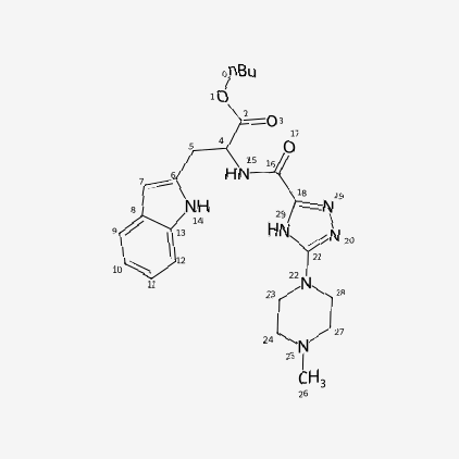 CCCCOC(=O)C(Cc1cc2ccccc2[nH]1)NC(=O)c1nnc(N2CCN(C)CC2)[nH]1